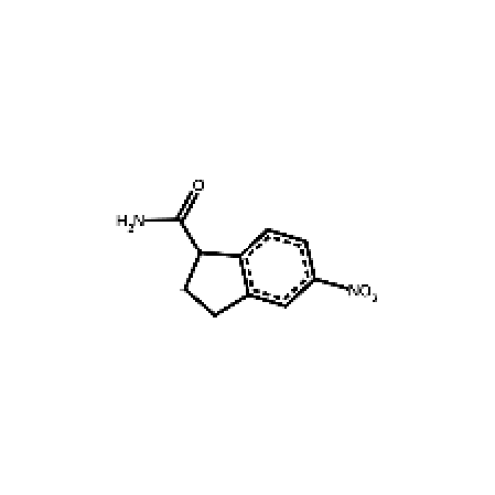 NC(=O)C1[CH]Cc2cc([N+](=O)[O-])ccc21